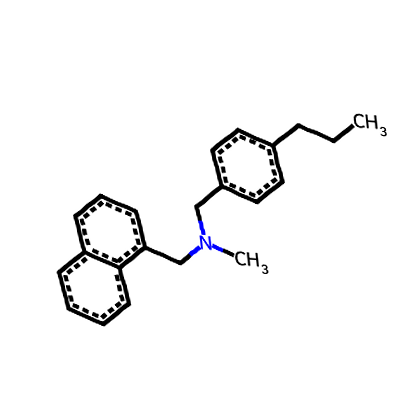 CCCc1ccc(CN(C)Cc2cccc3ccccc23)cc1